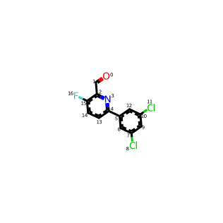 O=Cc1nc(-c2cc(Cl)cc(Cl)c2)ccc1F